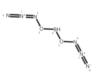 [N-]=[N+]=NOBON=[N+]=[N-]